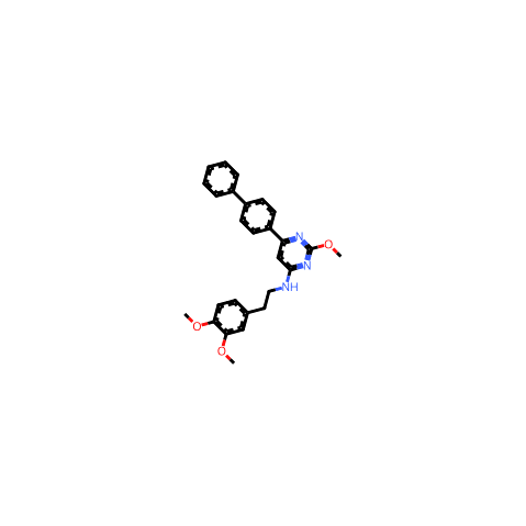 COc1nc(NCCc2ccc(OC)c(OC)c2)cc(-c2ccc(-c3ccccc3)cc2)n1